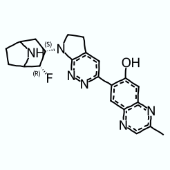 Cc1cnc2cc(-c3cc4c(nn3)N([C@H]3CC5CCC(N5)[C@H]3F)CC4)c(O)cc2n1